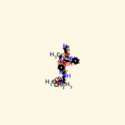 CC(C)CN(C[C@@H](O)[C@H](Cc1ccccc1)NC(=O)OCc1cncs1)S(=O)(=O)c1ccc2nc(NCCN(C)C(=O)OC(C)(C)C)sc2c1